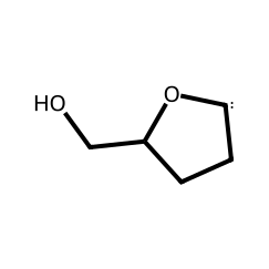 OCC1CC[C]O1